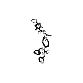 Cc1cc(Cl)nc(C)c1C(=O)NCC[C@@H](C)N1CCC(N(Cc2ccccc2)C(=O)NCc2cccnc2)CC1